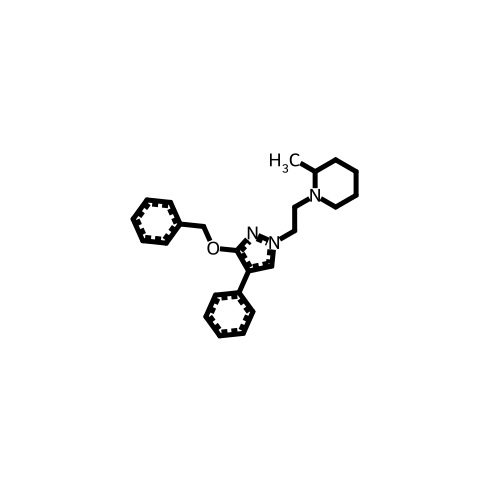 CC1CCCCN1CCn1cc(-c2ccccc2)c(OCc2ccccc2)n1